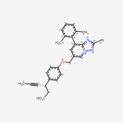 CC#C[C@@H](CC(=O)O)c1ccc(OCc2cc(-c3c(C)cccc3C)c3nc(C(C)C)nn3c2)cc1